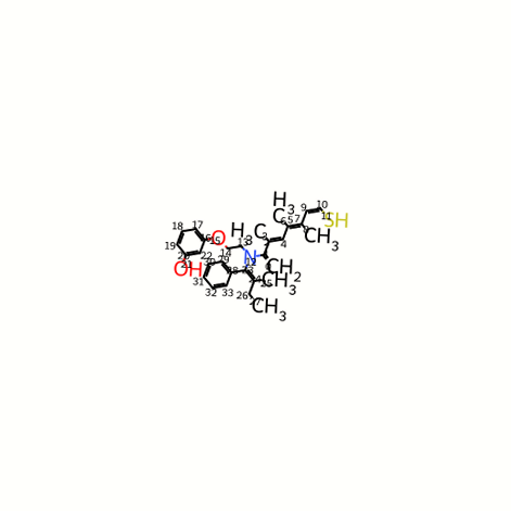 C=C(/C(C)=C/C(C)=C(C)/C=C\S)N(CCOc1cccc(O)c1)/C(=C(\C)CC)c1ccccc1